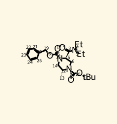 CCN(CC)C(=O)[C@H]1CN(C(=O)OC(C)(C)C)[C@H](C)CN1C(=O)OCc1ccccc1